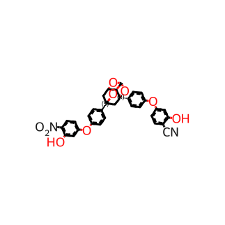 N#Cc1ccc(Oc2ccc([C@@]34CC5C[C@@](c6ccc(Oc7ccc([N+](=O)[O-])c(O)c7)cc6)(C3)OC(O5)O4)cc2)cc1O